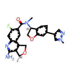 C[C@H]1OCc2c1c(N)nc1cc(F)c(C(=O)N(C)[C@@H]3COc4cc(-c5cnn(C)c5)ccc43)cc21